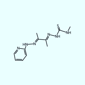 CNC(=S)N/N=C(C)/C(C)=N/Nc1ccccn1